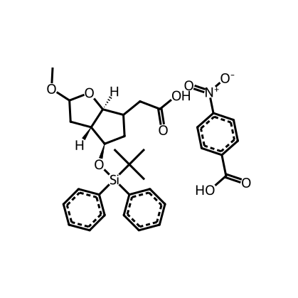 COC1C[C@H]2[C@H](O[Si](c3ccccc3)(c3ccccc3)C(C)(C)C)CC(CC(=O)O)[C@@H]2O1.O=C(O)c1ccc([N+](=O)[O-])cc1